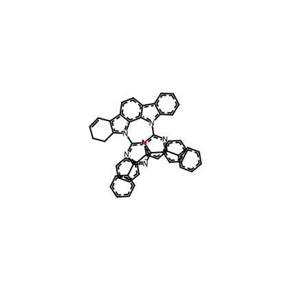 C1=Cc2c(n(-c3nc(-c4ccccc4)nc(-c4ccccc4)n3)c3c2ccc2c4ccccc4n(-c4nc(-c5ccccc5)cc(-c5ccccc5)n4)c23)CC1